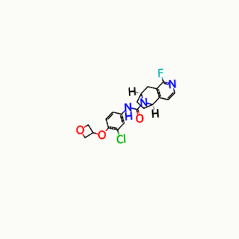 O=C(Nc1ccc(OC2COC2)c(Cl)c1)N1[C@H]2CC[C@@H]1c1ccnc(F)c1C2